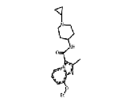 CCOc1cccn2c(C(=O)NC3CCN(C4CC4)CC3)c(C)nc12